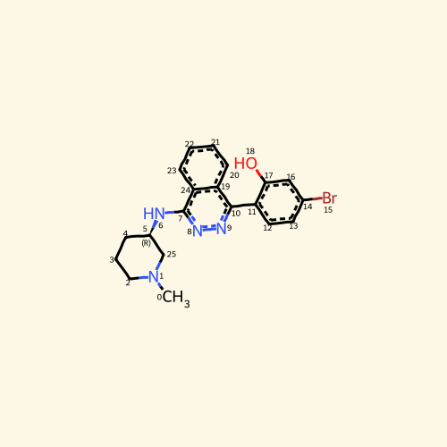 CN1CCC[C@@H](Nc2nnc(-c3ccc(Br)cc3O)c3ccccc23)C1